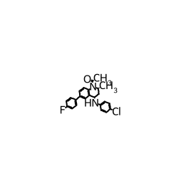 CC(=O)N1c2ccc(-c3ccc(F)cc3)cc2[C@@H](Nc2ccc(Cl)cc2)C[C@H]1C